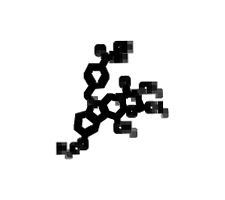 COc1ccc2c(c1)c1c(n2Cc2ccc(C(=O)NO)cc2)CN(C(=O)N(C)C(C)=O)CC1C